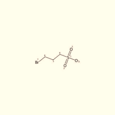 [O]S(=O)(=O)CCCBr